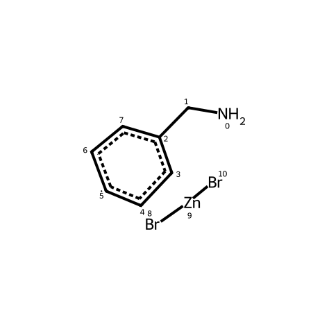 NCc1cc[c]cc1.[Br][Zn][Br]